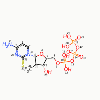 Nc1ccn([C@@H]2O[C@H](COP(=O)(O)OP(=O)(O)OP(=O)(O)O)[C@H](O)C2C(F)(F)F)c(=S)n1